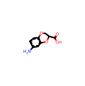 Nc1ccc2c(c1)OC(C(=O)O)CO2